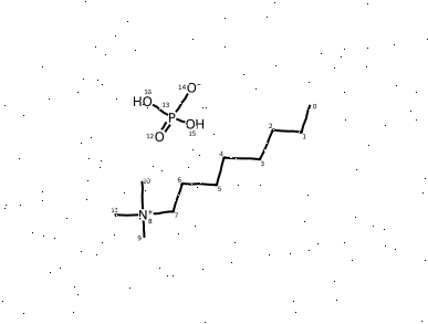 CCCCCCCC[N+](C)(C)C.O=P([O-])(O)O